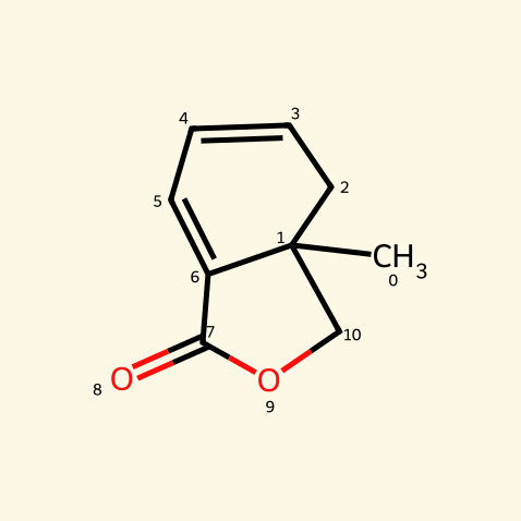 CC12CC=CC=C1C(=O)OC2